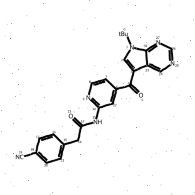 CC(C)(C)n1cc(C(=O)c2ccnc(NC(=O)Cc3ccc(C#N)cc3)c2)c2cncnc21